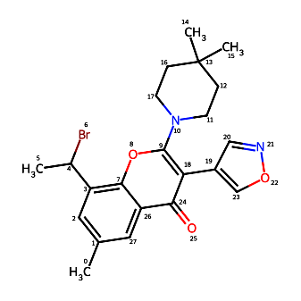 Cc1cc(C(C)Br)c2oc(N3CCC(C)(C)CC3)c(-c3cnoc3)c(=O)c2c1